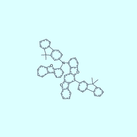 CC1(C)c2ccccc2-c2ccc(-c3c4oc5cccc(N(c6ccc7c(c6)C(C)(C)c6ccccc6-7)c6cccc7c6oc6ccccc67)c5c4cc4oc5ccccc5c34)cc21